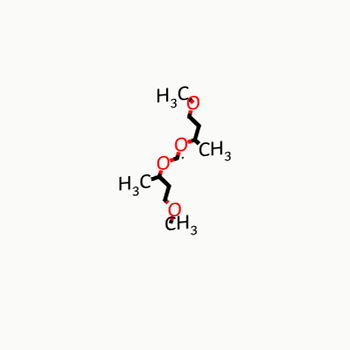 COCCC(C)O[CH]OC(C)CCOC